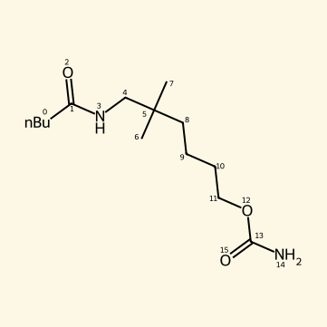 CCCCC(=O)NCC(C)(C)CCCCOC(N)=O